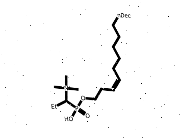 CCCCCCCCCCCCCCC/C=C\CCOP(=O)(O)C(CC)[N+](C)(C)C